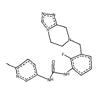 Cc1ccc(NC(=O)Nc2cccc(CN3CCn4cnnc4C3)c2F)cn1